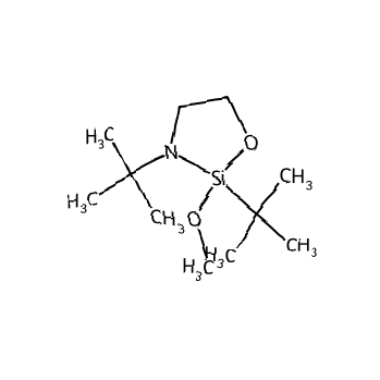 CO[Si]1(C(C)(C)C)OCCN1C(C)(C)C